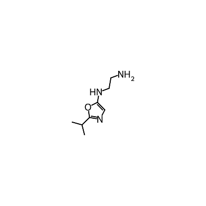 CC(C)c1ncc(NCCN)o1